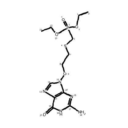 CCOP(=O)(CSCCOn1cnc2c(=O)[nH]c(N)nc21)OCC